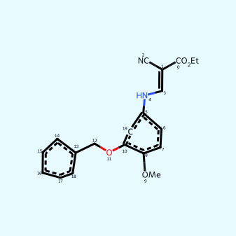 CCOC(=O)C(C#N)=CNc1ccc(OC)c(OCc2ccccc2)c1